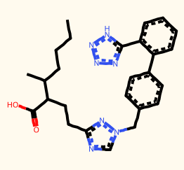 CCCCC(C)C(CCc1ncn(Cc2ccc(-c3ccccc3-c3nnn[nH]3)cc2)n1)C(=O)O